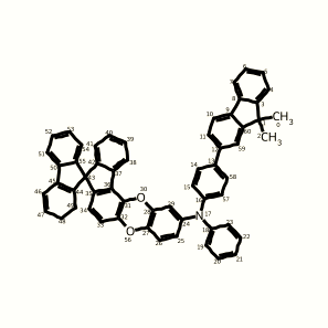 CC1(C)c2ccccc2-c2ccc(-c3ccc(N(c4ccccc4)c4ccc5c(c4)Oc4c(ccc6c4-c4ccccc4C64C6=C(C=CCC6)c6ccccc64)O5)cc3)cc21